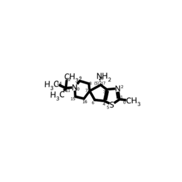 Cc1nc2c(s1)CC1(CCN(C(C)(C)C)CC1)[C@@H]2N